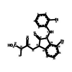 CCc1ccccc1NN1C(=O)C(CC(=O)N(C)C(=O)O)c2cccc(CC)c21